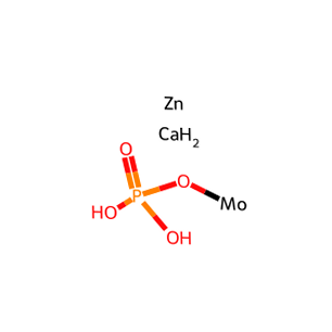 O=P(O)(O)[O][Mo].[CaH2].[Zn]